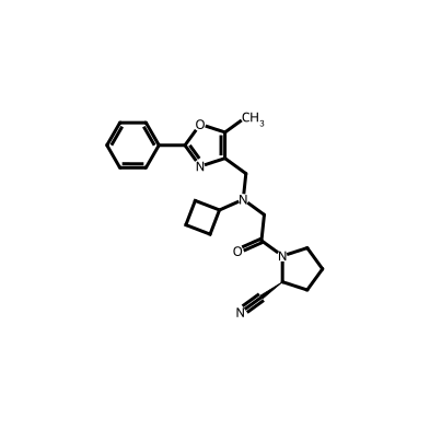 Cc1oc(-c2ccccc2)nc1CN(CC(=O)N1CCC[C@H]1C#N)C1CCC1